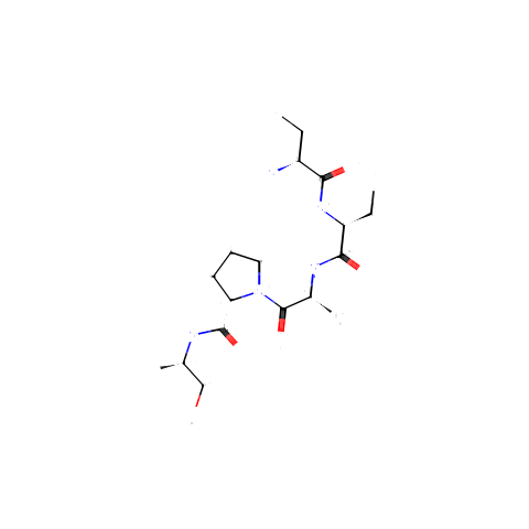 CC(C)C[C@H](N)C(=O)N[C@@H](CC(=O)O)C(=O)N[C@H](C(=O)N1CCC[C@H]1C(=O)N[C@@H](CO)C(=O)O)C(C)C